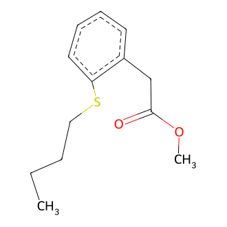 CCCCSc1ccccc1CC(=O)OC